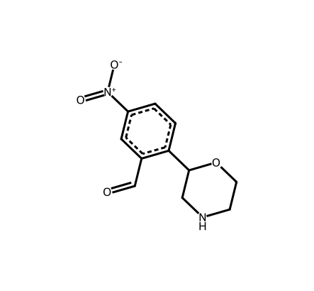 O=Cc1cc([N+](=O)[O-])ccc1C1CNCCO1